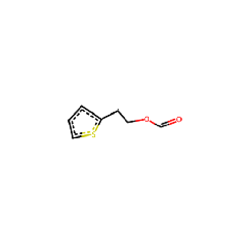 O=COC[CH]c1cccs1